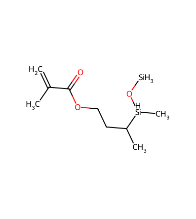 C=C(C)C(=O)OCCC(C)[SiH](C)O[SiH3]